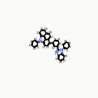 c1ccc(-n2c(-c3cccc(-c4ccc5c6c4ccc4cccc(c46)n5-c4ccccc4)c3)nc3ccccc32)cc1